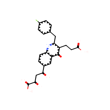 O=C(O)CCc1c(Cc2ccc(F)cc2)[nH]c2ccc(C(=O)CC(=O)C(=O)O)cc2c1=O